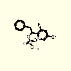 CS(=O)(=O)OC(Cc1ccccc1)c1ncc(Br)cc1F